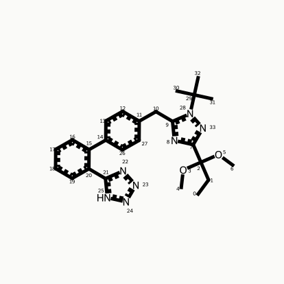 CCC(OC)(OC)c1nc(Cc2ccc(-c3ccccc3-c3nnn[nH]3)cc2)n(C(C)(C)C)n1